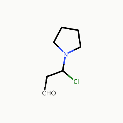 O=CCC(Cl)N1CCCC1